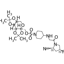 CC1(C)O[C@@H]2[C@@H](CO[C@@]3(COS(=O)(=O)N4CCC(NCC(=O)N5C[C@@H](F)C[C@H]5C#N)CC4)OC(C)(C)O[C@@H]23)O1